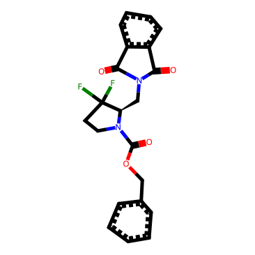 O=C1c2ccccc2C(=O)N1C[C@H]1N(C(=O)OCc2ccccc2)CCC1(F)F